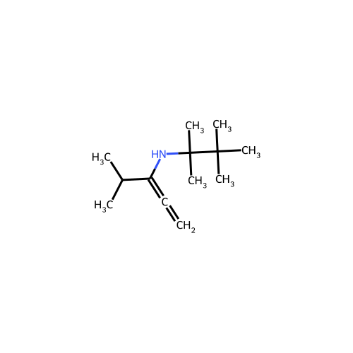 C=C=C(NC(C)(C)C(C)(C)C)C(C)C